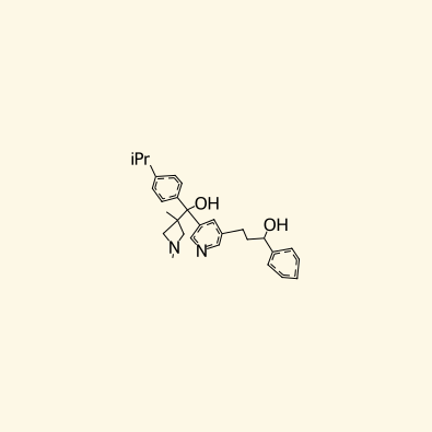 CC(C)c1ccc(C(O)(c2cncc(CCC(O)c3ccccc3)c2)C2(C)CN(C)C2)cc1